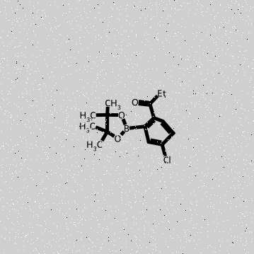 CCC(=O)c1ccc(Cl)cc1B1OC(C)(C)C(C)(C)O1